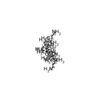 C=C[Si](C)(OC(C)(C)[Si](C)(C)CCCN)C(C)(C)C(C)(C)O[Si](C)(C)C(C)(C)O[Si](C)(C)CCCN